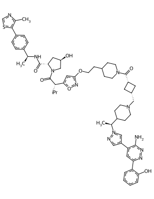 Cc1ncsc1-c1ccc([C@H](C)NC(=O)[C@@H]2C[C@@H](O)CN2C(=O)[C@H](c2cc(OCCC3CCN(C(=O)[C@H]4C[C@@H](CN5CCC([C@H](C)n6cc(-c7cc(-c8ccccc8O)nnc7N)cn6)CC5)C4)CC3)no2)C(C)C)cc1